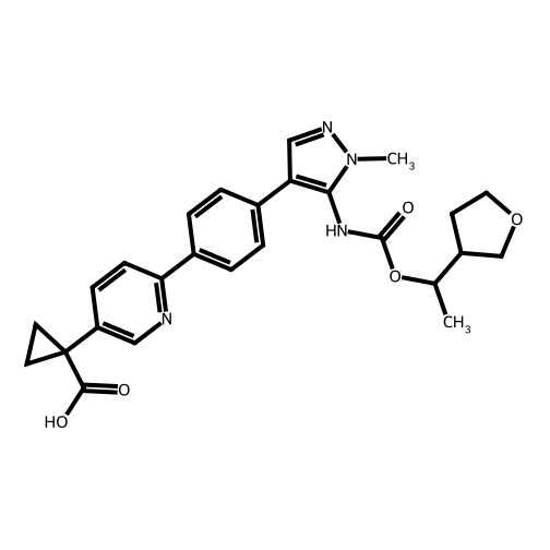 CC(OC(=O)Nc1c(-c2ccc(-c3ccc(C4(C(=O)O)CC4)cn3)cc2)cnn1C)C1CCOC1